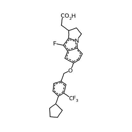 O=C(O)CC1CCn2c1c(F)c1cc(OCc3ccc(C4CCCC4)c(C(F)(F)F)c3)ccc12